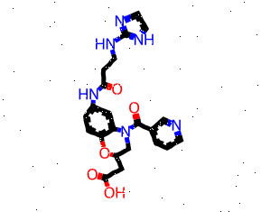 O=C(O)CC1CN(C(=O)c2cccnc2)c2cc(NC(=O)CCNc3ncc[nH]3)ccc2O1